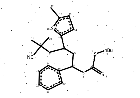 CCCCSC(=S)SC(CC(CC(C)(C)C#N)c1ccc(C)s1)c1ccccc1